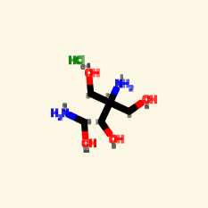 Cl.NC(CO)(CO)CO.NCO